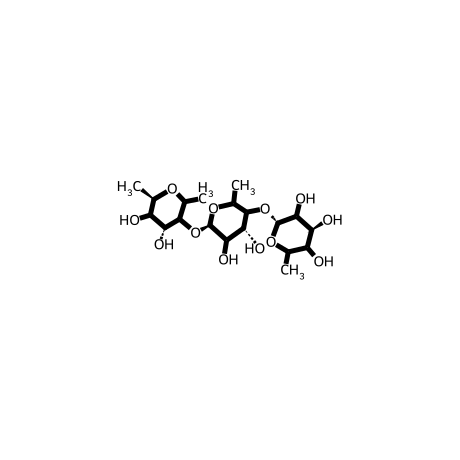 CC1O[C@H](OC2C(C)O[C@H](OC3C(C)O[C@H](C)C(O)[C@H]3O)C(O)[C@H]2O)C(O)[C@@H](O)C1O